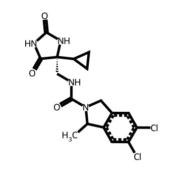 CC1c2cc(Cl)c(Cl)cc2CN1C(=O)NC[C@@]1(C2CC2)NC(=O)NC1=O